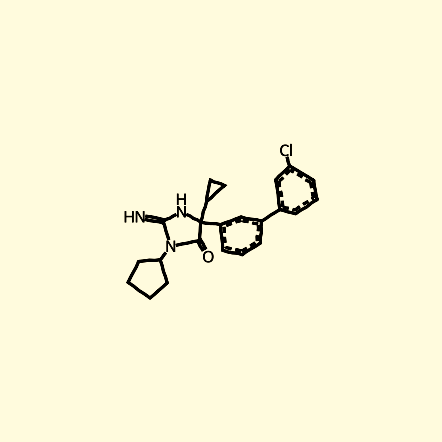 N=C1NC(c2cccc(-c3cccc(Cl)c3)c2)(C2CC2)C(=O)N1C1CCCC1